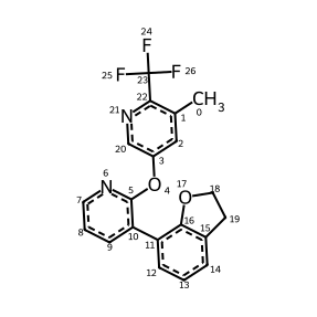 Cc1cc(Oc2ncccc2-c2cccc3c2OCC3)cnc1C(F)(F)F